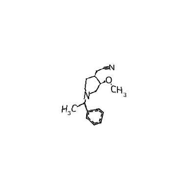 CO[C@H]1CN(C(C)c2ccccc2)CC[C@H]1CC#N